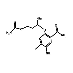 Cc1cc(OC(CCOC(N)=O)C(C)(C)C)c(C(N)=O)cc1N